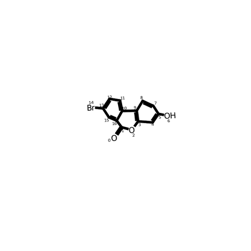 O=c1oc2cc(O)ccc2c2ccc(Br)cc12